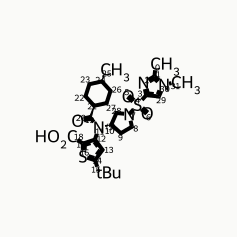 Cc1nc(S(=O)(=O)N2CC[C@H](N(c3cc(C(C)(C)C)sc3C(=O)O)C(=O)[C@H]3CC[C@H](C)CC3)C2)cn1C